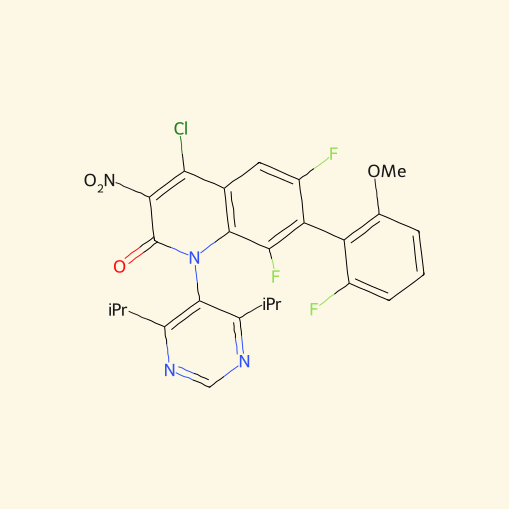 COc1cccc(F)c1-c1c(F)cc2c(Cl)c([N+](=O)[O-])c(=O)n(-c3c(C(C)C)ncnc3C(C)C)c2c1F